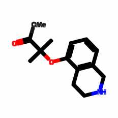 COC(=O)C(C)(C)Oc1cccc2c1CCNC2